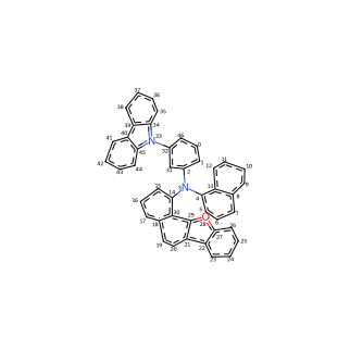 c1cc(N(c2cccc3ccccc23)c2cccc3ccc4c5ccccc5oc4c23)cc(-n2c3ccccc3c3ccccc32)c1